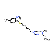 COCCN(C)Cc1cn(CCCCCCSc2ccnc3cc(C(F)(F)F)ccc23)cn1